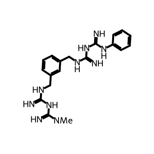 CNC(=N)NC(=N)NCc1cccc(CNC(=N)NC(=N)Nc2ccccc2)c1